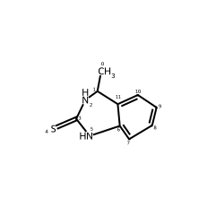 CC1NC(=S)Nc2ccccc21